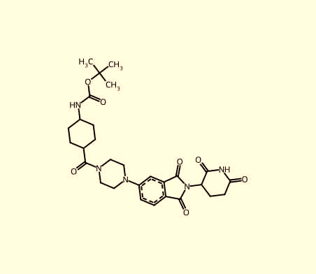 CC(C)(C)OC(=O)NC1CCC(C(=O)N2CCN(c3ccc4c(c3)C(=O)N(C3CCC(=O)NC3=O)C4=O)CC2)CC1